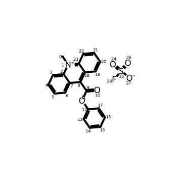 C[n+]1c2ccccc2c(C(=O)Oc2ccccc2)c2ccccc21.O=S(=O)([O-])F